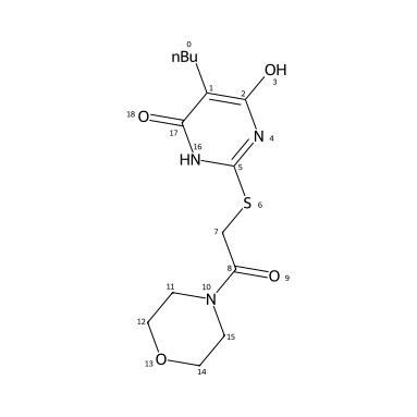 CCCCc1c(O)nc(SCC(=O)N2CCOCC2)[nH]c1=O